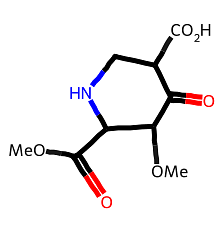 COC(=O)C1NCC(C(=O)O)C(=O)C1OC